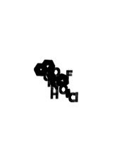 O=S(=O)(c1cccc2ccccc12)c1n[nH]c2c(OCCCl)cc(F)cc12